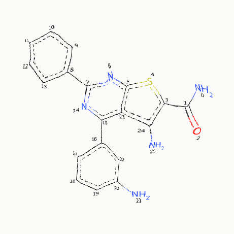 NC(=O)c1sc2nc(-c3ccccc3)nc(-c3cccc(N)c3)c2c1N